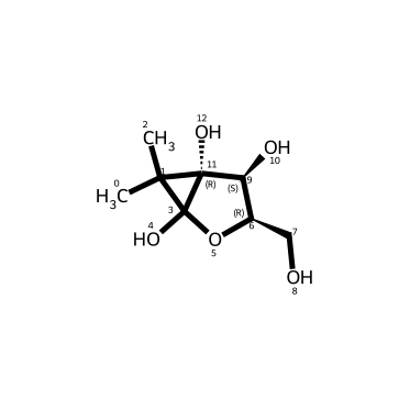 CC1(C)C2(O)O[C@H](CO)[C@H](O)[C@]12O